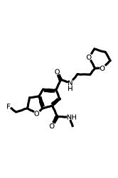 CNC(=O)c1cc(C(=O)NCCC2OCCCO2)cc2c1OC(CF)C2